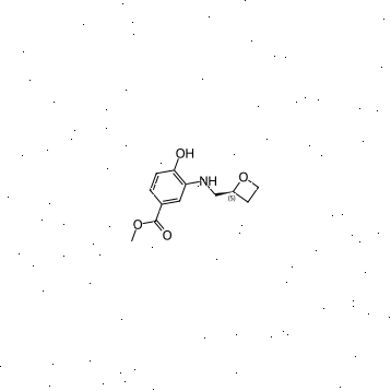 COC(=O)c1ccc(O)c(NC[C@@H]2CCO2)c1